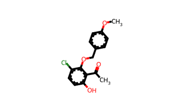 COc1ccc(COc2c(Cl)ccc(O)c2C(C)=O)cc1